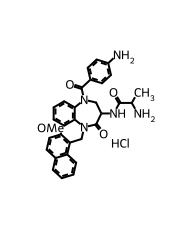 COc1ccc2ccccc2c1CN1C(=O)C(NC(=O)C(C)N)CN(C(=O)c2ccc(N)cc2)c2ccccc21.Cl